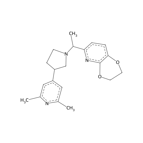 Cc1cc(C2CCN(C(C)c3ccc4c(n3)OCCO4)C2)cc(C)n1